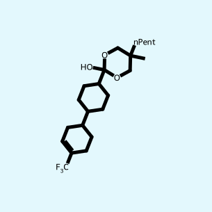 CCCCCC1(C)COC(O)(C2CCC(C3CC=C(C(F)(F)F)CC3)CC2)OC1